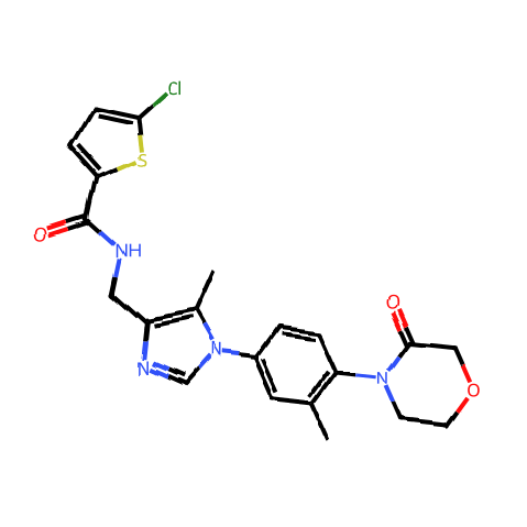 Cc1cc(-n2cnc(CNC(=O)c3ccc(Cl)s3)c2C)ccc1N1CCOCC1=O